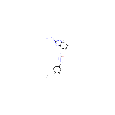 COc1ccc(CNC(=O)Nc2cccc3nc(N)[nH]c23)cc1